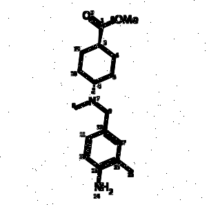 COC(=O)[C@H]1CC[C@H](N(C)Cc2ccc(N)c(C)c2)CC1